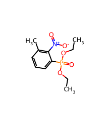 CCOP(=O)(OCC)c1cccc(C)c1[N+](=O)[O-]